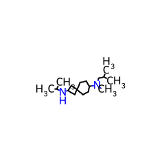 CC(C)CN(C)C1CCC2(CC1)CC(NC(C)C)C2